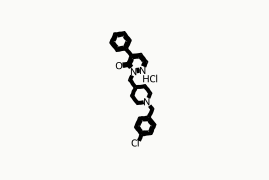 Cl.O=c1c(-c2ccccc2)ccnn1CC1CCN(Cc2ccc(Cl)cc2)CC1